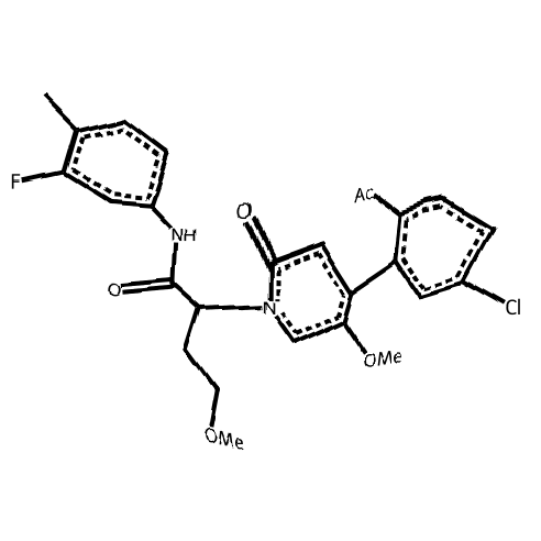 COCCC(C(=O)Nc1ccc(C)c(F)c1)n1cc(OC)c(-c2cc(Cl)ccc2C(C)=O)cc1=O